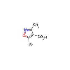 Cc1noc(C(C)C)c1C(=O)O